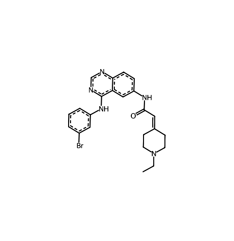 CCN1CCC(=CC(=O)Nc2ccc3ncnc(Nc4cccc(Br)c4)c3c2)CC1